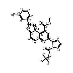 COC(=O)c1cc(-c2cccn2C(=O)OC(C)(C)C)nc2ccc3nn(-c4cccc(F)c4)nc3c12